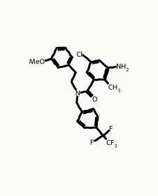 COc1cccc(CCN(Cc2ccc(C(F)(F)C(F)(F)F)cc2)C(=O)c2cc(Cl)cc(N)c2C)c1